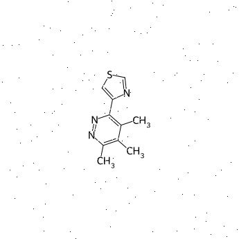 Cc1nnc(-c2cscn2)c(C)c1C